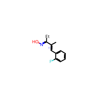 CCC(=NO)/C(C)=C/c1ccccc1F